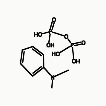 CN(C)c1ccccc1.O=P(O)(O)OP(=O)(O)O